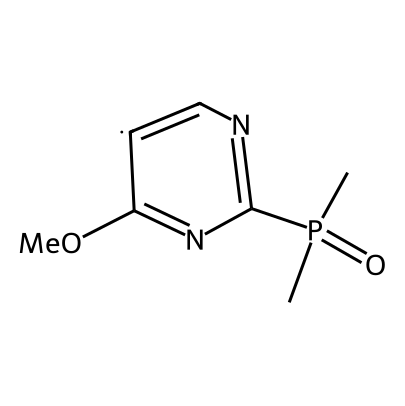 COc1[c]cnc(P(C)(C)=O)n1